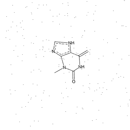 C=C1NC(=O)N(C)c2nc[nH]c21